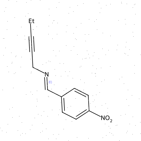 CCC#CC/N=C/c1ccc([N+](=O)[O-])cc1